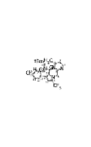 Cc1ccnc(Cn2c(C(F)(F)F)cc(-c3ccc(Cl)cc3)c2C(=O)N(C)CC(C)(C)C)n1